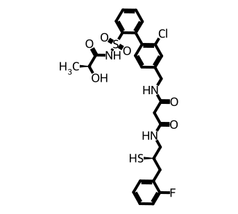 C[C@H](O)C(=O)NS(=O)(=O)c1ccccc1-c1ccc(CNC(=O)CC(=O)NC[C@H](S)Cc2ccccc2F)cc1Cl